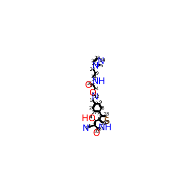 N#Cc1c(O)c2c(-c3ccc(/C=N/OCC(=O)NCCCn4ccnc4)cc3)csc2[nH]c1=O